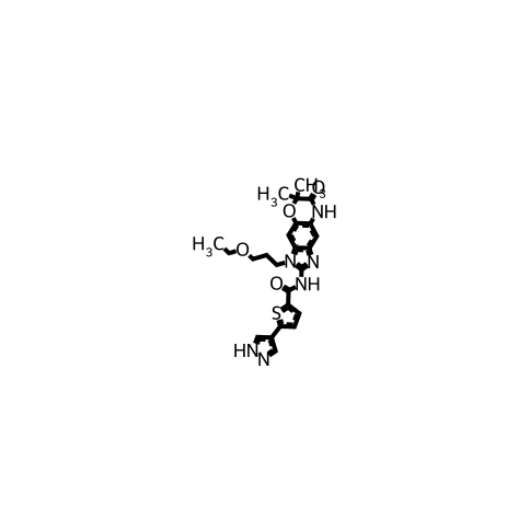 CCOCCCn1c(NC(=O)c2ccc(-c3cn[nH]c3)s2)nc2cc3c(cc21)OC(C)(C)C(=O)N3